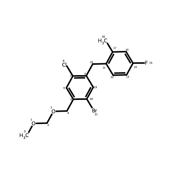 COCOCc1cc(Cl)c(Cc2ccc(F)cc2C)cc1Br